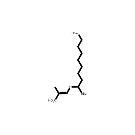 CCCCCCCCCCCCCCCCCC(CCCC)OC=C(C)C(=O)O